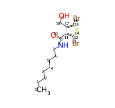 CCCCCCCCNC(=O)c1c(Br)sc(Br)c1CO